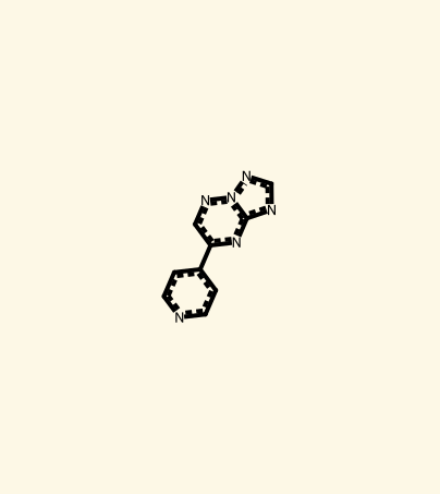 c1cc(-c2cnn3ncnc3n2)ccn1